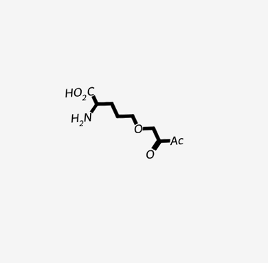 CC(=O)C(=O)COCCCC(N)C(=O)O